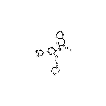 CN(Cc1ccccc1)C(=O)Nc1ccc(-c2cn[nH]c2)cc1OCCN1CCOCC1